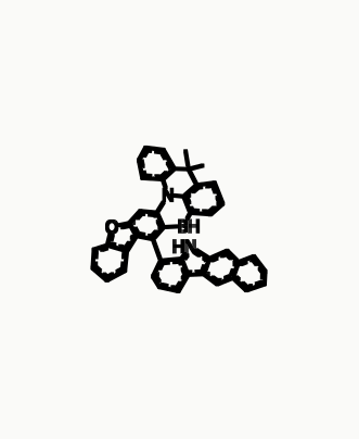 CC1(C)c2ccccc2N2c3cc4oc5ccccc5c4c(-c4cccc5c4[nH]c4cc6ccccc6cc45)c3Bc3cccc1c32